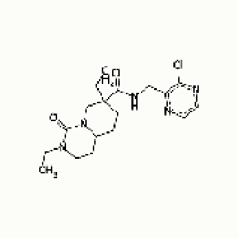 CCN1CCC2CCC(CC)(C(=O)NCc3nccnc3Cl)CN2C1=O